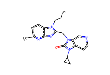 Cc1ccc2c(n1)nc(Cn1c(=O)n(C3CC3)c3ccncc31)n2CCC(C)C